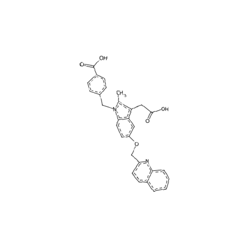 Cc1c(CC(=O)O)c2cc(OCc3ccc4ccccc4n3)ccc2n1Cc1ccc(C(=O)O)cc1